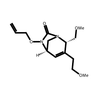 C=CCON1C(=O)N2C[C@H]1C=C(CCOC)[C@H]2COC